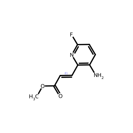 COC(=O)/C=C/c1nc(F)ccc1N